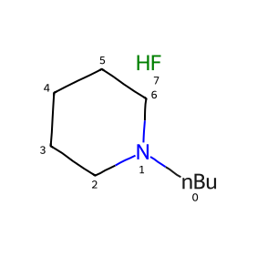 CCCCN1CCCCC1.F